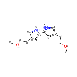 COCCc1c[nH]c(-c2cc(CCOC)c[nH]2)c1